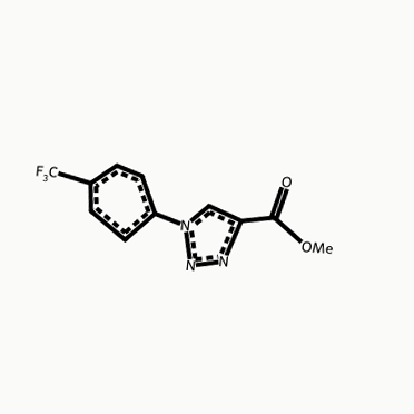 COC(=O)c1cn(-c2ccc(C(F)(F)F)cc2)nn1